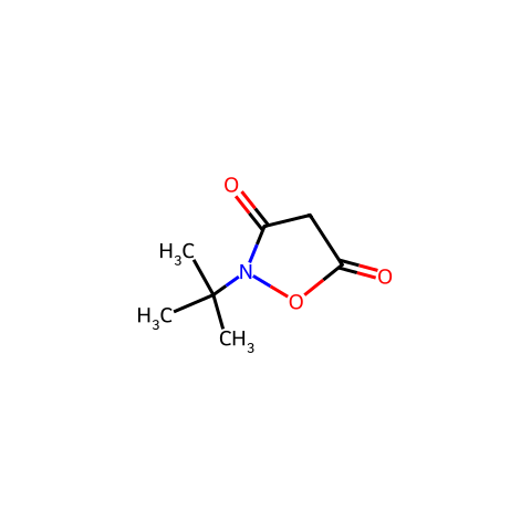 CC(C)(C)N1OC(=O)CC1=O